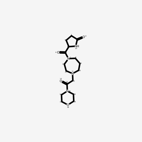 O=C1CCC(C(=O)N2CCCN(CC(=O)N3CCOCC3)CC2)N1